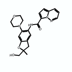 CC1(CO)Cc2cc(NC(=O)c3ccc4cccnn34)c(N3CCOCC3)cc2O1